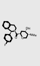 CN[C@@H]1CO[C@@H](C(=O)N2CCc3ccccc3[C@@H]2c2ccc(F)cc2)C[C@@H]1O